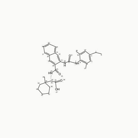 CCc1cc(C)c(NC(=O)Nc2cc3ccccc3cc2C(=O)N[C@H](C(=O)O)C2(C)CCCCC2)c(C)c1